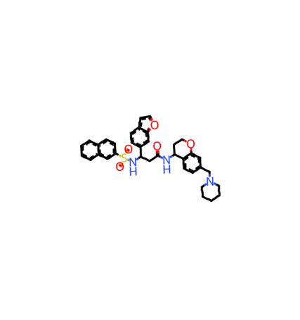 O=C(CC(NS(=O)(=O)c1ccc2ccccc2c1)c1ccc2ccoc2c1)NC1CCOc2cc(CN3CCCCC3)ccc21